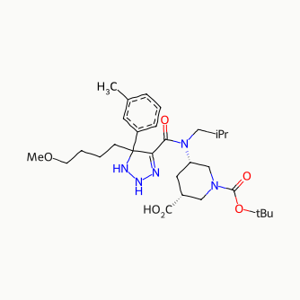 COCCCCC1(c2cccc(C)c2)NNN=C1C(=O)N(CC(C)C)[C@H]1C[C@@H](C(=O)O)CN(C(=O)OC(C)(C)C)C1